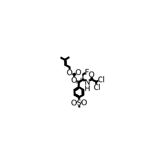 CC(C)=CCOC(=O)O[C@H](c1ccc(S(C)(=O)=O)cc1)[C@@H](CF)NC(=O)C(Cl)Cl